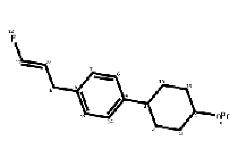 CCCC1CCC(c2ccc(CC=CF)cc2)CC1